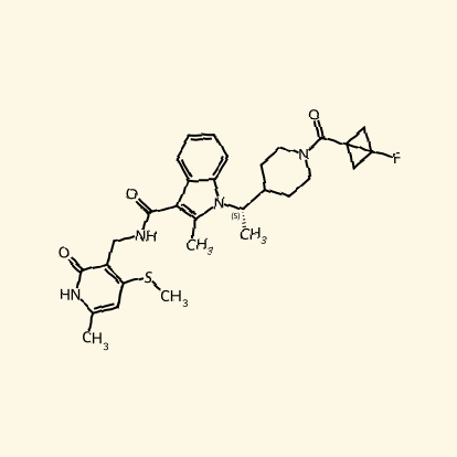 CSc1cc(C)[nH]c(=O)c1CNC(=O)c1c(C)n([C@@H](C)C2CCN(C(=O)C34CC3(F)C4)CC2)c2ccccc12